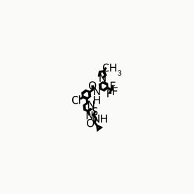 Cc1ccn(-c2cc(NC(=O)c3ccc(Cl)c(-c4ccc5nc(NC(=O)C6CC6)sc5n4)c3)cc(C(F)(F)F)c2)c1